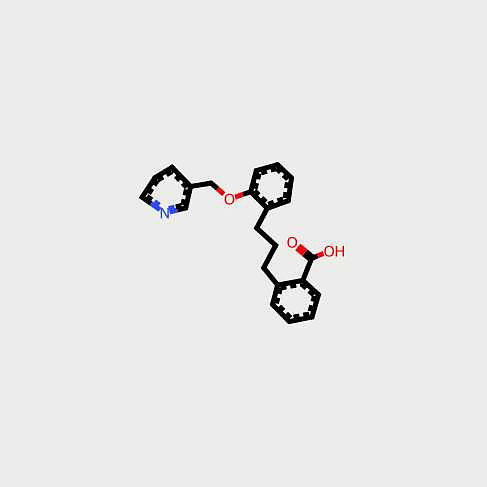 O=C(O)c1ccccc1CCCc1ccccc1OCc1cccnc1